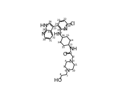 O=C(CN1CCN(CCO)CC1)NC1CCC(Nc2nc(Cl)ccc2-c2c[nH]c3ncccc23)CC1